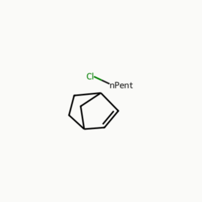 C1=CC2CCC1C2.CCCCCCl